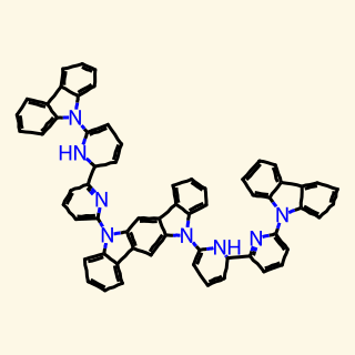 C1=CC(c2cccc(-n3c4ccccc4c4cc5c(cc43)c3ccccc3n5C3=CC=CC(c4cccc(-n5c6ccccc6c6ccccc65)n4)N3)n2)NC(n2c3ccccc3c3ccccc32)=C1